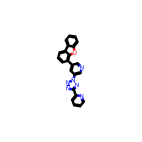 c1ccc(-c2nnn(-c3cncc(-c4cccc5c4oc4ccccc45)c3)n2)nc1